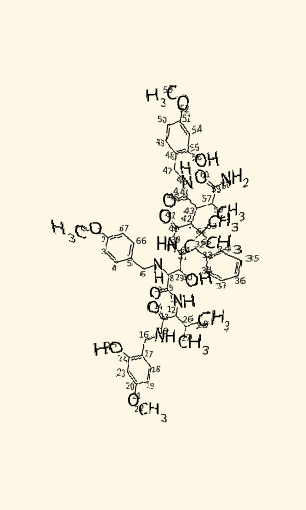 COc1ccc(CNC(C(=O)NC(C(=O)NCc2ccc(OC)cc2O)C(C)C)C(O)C(Cc2ccccc2)NC(=O)[C](C(C(=O)NCc2ccc(OC)cc2O)C(C)C(N)=O)C(C)(C)C)cc1